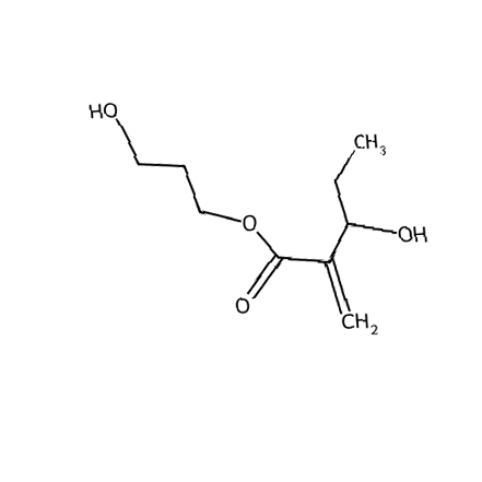 C=C(C(=O)OCCCO)C(O)CC